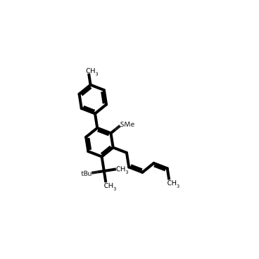 C/C=C\C=C/Cc1c(C(C)(C)C(C)(C)C)ccc(-c2ccc(C)cc2)c1SC